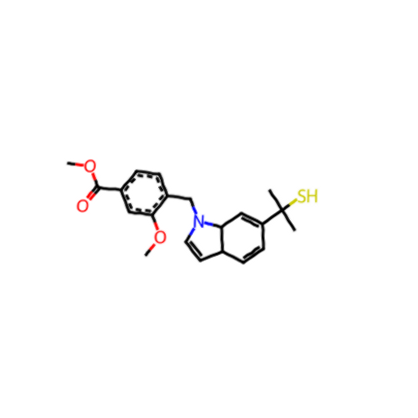 COC(=O)c1ccc(CN2C=CC3C=CC(C(C)(C)S)=CC32)c(OC)c1